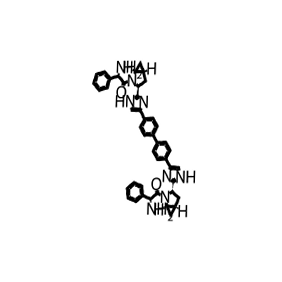 N[C@@H](C(=O)N1[C@@H]2C[C@@H]2C[C@H]1c1nc(-c2ccc(-c3ccc(-c4c[nH]c([C@@H]5C[C@H]6C[C@H]6N5C(=O)[C@H](N)c5ccccc5)n4)cc3)cc2)c[nH]1)c1ccccc1